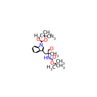 CC(C=O)(Cc1cn(C(=O)OC(C)(C)C)c2ccccc12)NC(=O)OC(C)(C)C